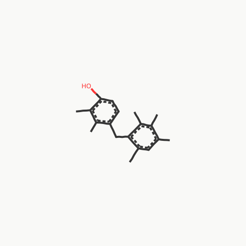 Cc1cc(C)c(Cc2ccc(O)c(C)c2C)c(C)c1C